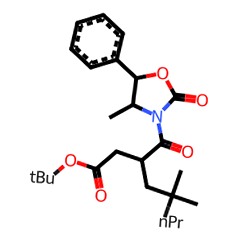 CCCC(C)(C)CC(CC(=O)OC(C)(C)C)C(=O)N1C(=O)OC(c2ccccc2)C1C